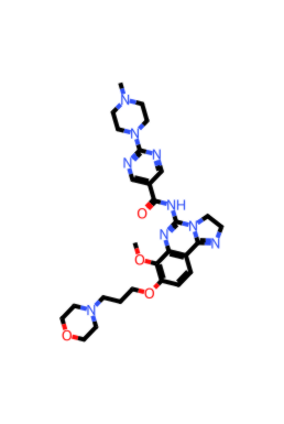 COc1c(OCCCN2CCOCC2)ccc2c1N=C(NC(=O)c1cnc(N3CCN(C)CC3)nc1)N1CCN=C21